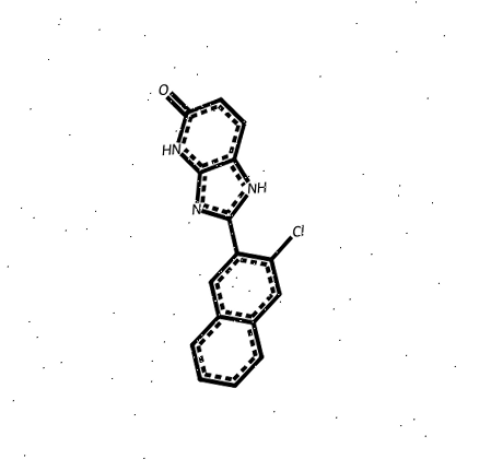 O=c1ccc2[nH]c(-c3cc4ccccc4cc3Cl)nc2[nH]1